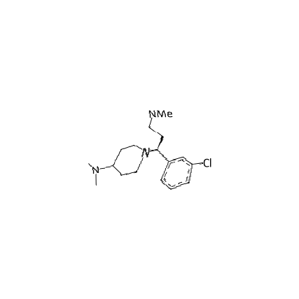 CNCC[C@@H](c1cccc(Cl)c1)N1CCC(N(C)C)CC1